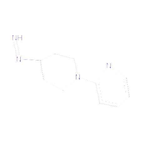 N=NC1CCN(c2ccccn2)CC1